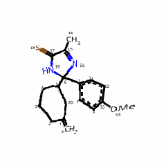 C=C1CCCC(C2(c3ccc(OC)cc3)N=C(C)C(=S)N2)C1